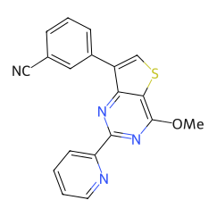 COc1nc(-c2ccccn2)nc2c(-c3cccc(C#N)c3)csc12